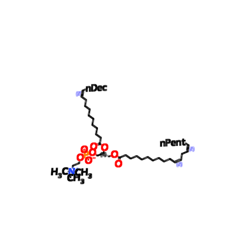 CCCCC/C=C\C/C=C\CCCCCCCCCC(=O)OC[C@H](COP(=O)([O-])OCC[N+](C)(C)C)OC(=O)CCCCCCCCC/C=C\CCCCCCCCCC